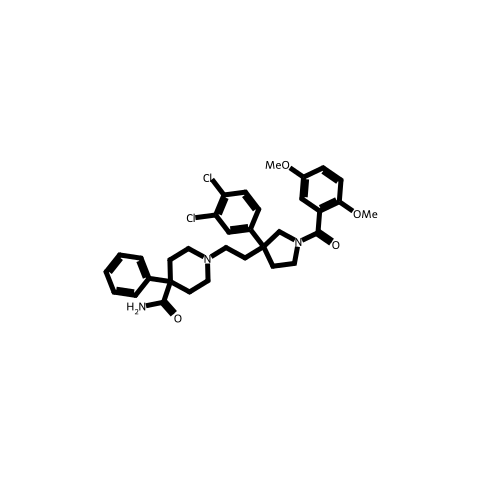 COc1ccc(OC)c(C(=O)N2CCC(CCN3CCC(C(N)=O)(c4ccccc4)CC3)(c3ccc(Cl)c(Cl)c3)C2)c1